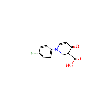 O=C(O)C1CN(c2ccc(F)cc2)C=CC1=O